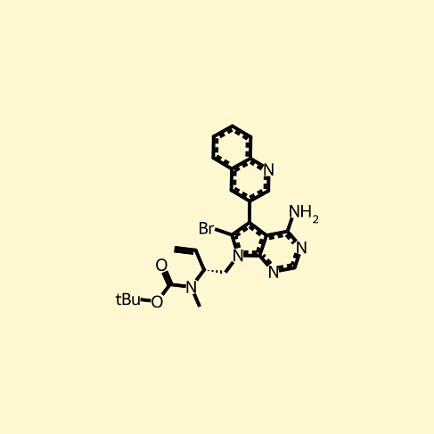 C=C[C@H](Cn1c(Br)c(-c2cnc3ccccc3c2)c2c(N)ncnc21)N(C)C(=O)OC(C)(C)C